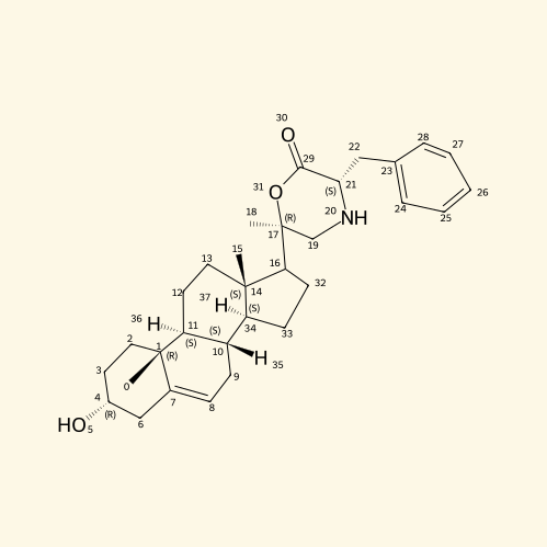 C[C@]12CC[C@@H](O)CC1=CC[C@@H]1[C@@H]2CC[C@]2(C)C([C@]3(C)CN[C@@H](Cc4ccccc4)C(=O)O3)CC[C@@H]12